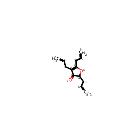 C=CCC1=C(CC=C)C(=O)C(CC=C)O1